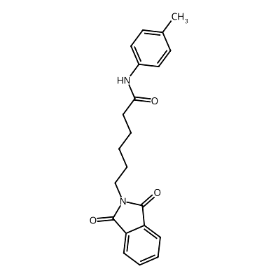 Cc1ccc(NC(=O)CCCCCN2C(=O)c3ccccc3C2=O)cc1